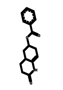 O=C1CCC2CC(OC(=O)c3ccccc3)CC=C2N1